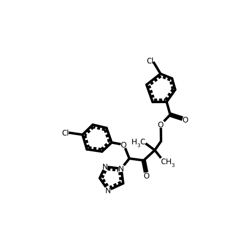 CC(C)(COC(=O)c1ccc(Cl)cc1)C(=O)C(Oc1ccc(Cl)cc1)n1cncn1